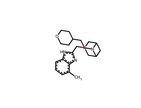 Cc1cccc2[nH]c(CN3CC4CC(C3)N4CCC3CCOCC3)nc12